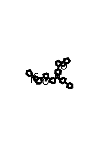 C1=CC(c2cccc(N(c3ccc(-c4ccccc4)cc3)c3ccc(-c4cccc5c4oc4ccccc45)cc3)c2)=C2Oc3ccc4nc(-c5ccccc5)sc4c3C2C1